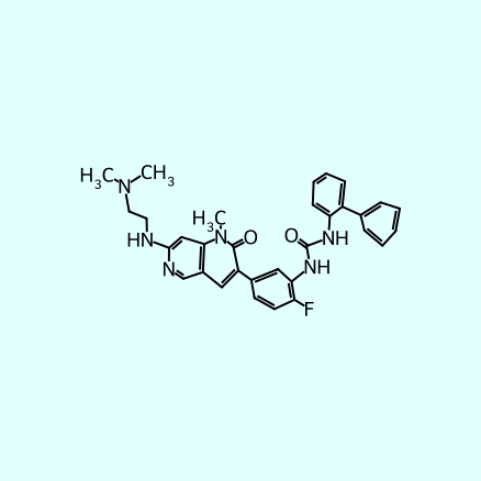 CN(C)CCNc1cc2c(cn1)cc(-c1ccc(F)c(NC(=O)Nc3ccccc3-c3ccccc3)c1)c(=O)n2C